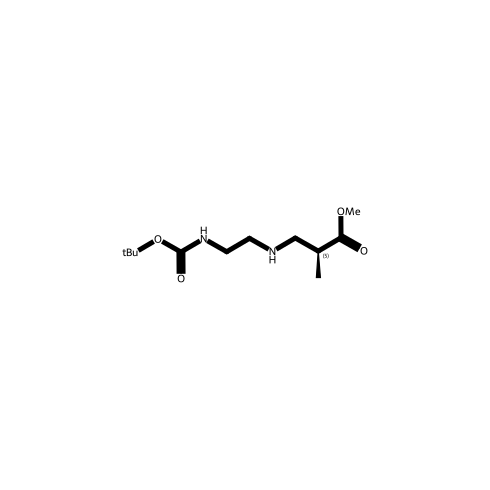 COC(=O)[C@@H](C)CNCCNC(=O)OC(C)(C)C